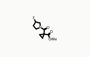 COC(=O)C1(C(=O)N2CCC(F)C2)CC1